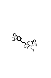 CC1CNC(=O)CCN1C(=O)C=Cc1ccc(Cl)c(Cl)c1